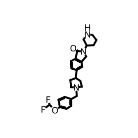 O=C1c2ccc(C3CCN(Cc4ccc(OC(F)F)cc4)CC3)cc2CN1C1CCCNC1